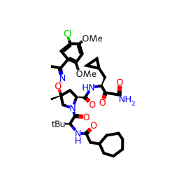 COc1cc(OC)c(/C(C)=N/O[C@]2(C)C[C@@H](C(=O)N[C@@H](CC3CC3)C(=O)C(N)=O)N(C(=O)[C@@H](NC(=O)CC3CCCCCC3)C(C)(C)C)C2)cc1Cl